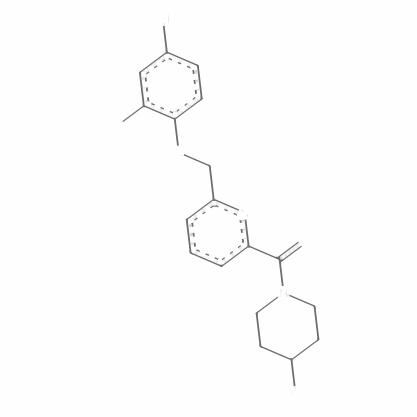 Cc1ccc(SCc2cccc(C(=O)N3CCC(C)CC3)n2)c(C)c1